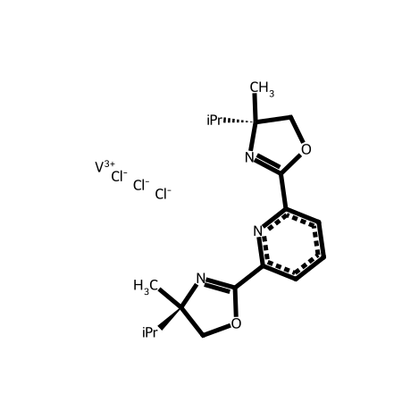 CC(C)[C@]1(C)COC(c2cccc(C3=N[C@](C)(C(C)C)CO3)n2)=N1.[Cl-].[Cl-].[Cl-].[V+3]